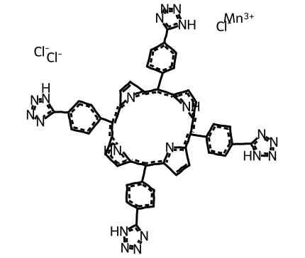 C1=Cc2nc1c(-c1ccc(-c3nnn[nH]3)cc1)c1ccc([nH]1)c(-c1ccc(-c3nnn[nH]3)cc1)c1nc(c(-c3ccc(-c4nnn[nH]4)cc3)c3ccc([nH]3)c2-c2ccc(-c3nnn[nH]3)cc2)C=C1.[Cl-].[Cl-].[Cl-].[Mn+3]